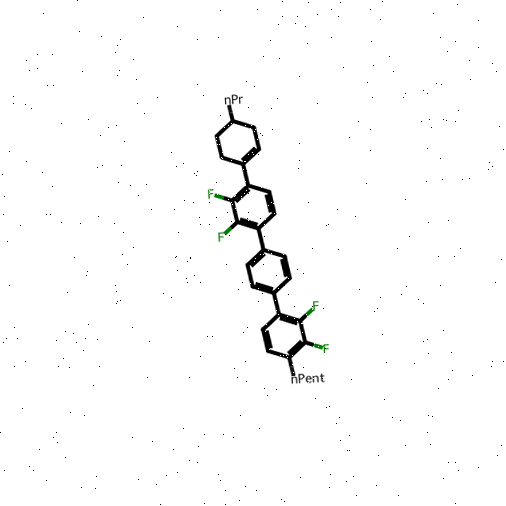 CCCCCc1ccc(-c2ccc(-c3ccc(C4=CCC(CCC)CC4)c(F)c3F)cc2)c(F)c1F